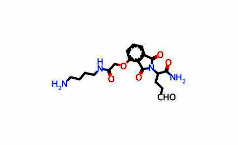 NCCCCNC(=O)COc1cccc2c1C(=O)N(C(CCC=O)C(N)=O)C2=O